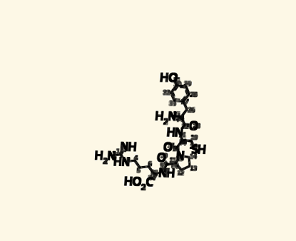 N=C(N)NCCC[C@H](NC(=O)[C@@H]1CCCN1C(=O)[C@H](CS)NC(=O)[C@@H](N)Cc1ccc(O)cc1)C(=O)O